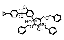 [2H]C([2H])(c1ccc(C2CC2)cc1)c1cc([C@]2(O)C=C(COCc3ccccc3)[C@@H](OCc3ccccc3)[C@H](O)[C@H]2OCc2ccccc2)ccc1Cl